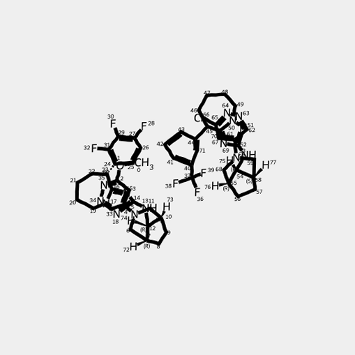 COc1cc(N2C[C@H]3CC[C@@H](C2)[C@H]3Nc2nc3n(n2)CCCC[C@@H]3c2ccc(F)c(F)c2F)cnn1.FC(F)(F)c1cccc(C2CCCCn3nc(N[C@H]4[C@@H]5CC[C@H]4CN(c4cnnc(Cl)c4)C5)nc32)c1